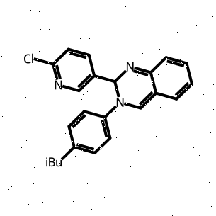 CCC(C)c1ccc(N2C=c3ccccc3=NC2c2ccc(Cl)nc2)cc1